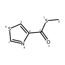 CSC(=O)c1cscn1